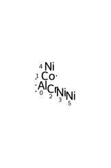 [Al].[Co].[Cr].[Ni].[Ni].[Ni]